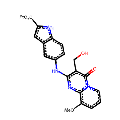 CCOC(=O)c1cc2cc(Nc3nc4c(OC)cccn4c(=O)c3CO)ccc2[nH]1